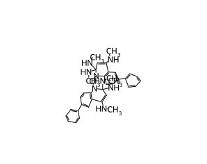 CNC1=CC(NC)(NC)N(ON2c3ccc(-c4ccccc4)cc3C(NC)=CC2(NC)NC)c2ccc(-c3ccccc3)cc21